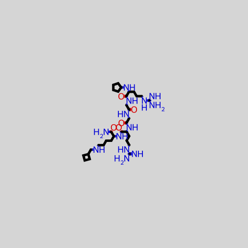 N=C(N)NCCCC(NC(=O)CNC(=O)CNC(=O)C(CCCNC(=N)N)NC1CCCC1)C(=O)NC(CCCCNCC1CCC1)C(N)=O